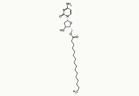 CCCCCCCCCCCCCCCC(=O)OC[C@H]1O[C@@H](n2ccc(N)nc2=O)CC1O